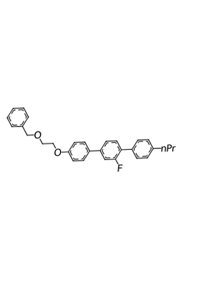 CCCc1ccc(-c2ccc(-c3ccc(OCCOCc4ccccc4)cc3)cc2F)cc1